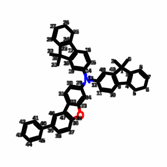 CC1(C)C2=C(CCC=C2)c2ccc(N(c3ccc4c(c3)C(C)(C)C3=C4CCC=C3)c3ccc4c(c3)oc3ccc(-c5ccccc5)cc34)cc21